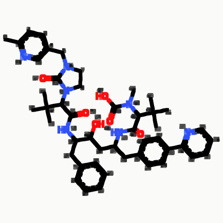 Cc1ccc(CN2CCN(C(C(=O)NC(Cc3ccccc3)C(O)CC(Cc3ccc(-c4ccccn4)cc3)NC(=O)C(N(C)C(=O)O)C(C)(C)C)C(C)(C)C)C2=O)cn1